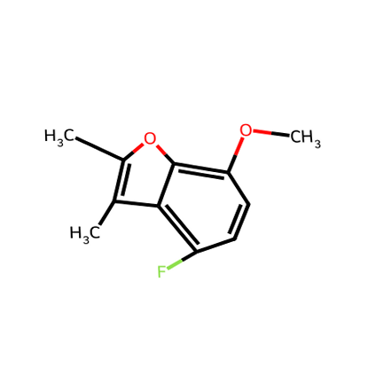 COc1ccc(F)c2c(C)c(C)oc12